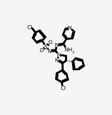 N/C(=N\C(=N/S(=O)(=O)c1ccc(Cl)cc1)N1C[C@H](c2ccccc2)C(c2ccc(Cl)cc2)=N1)c1ccncc1